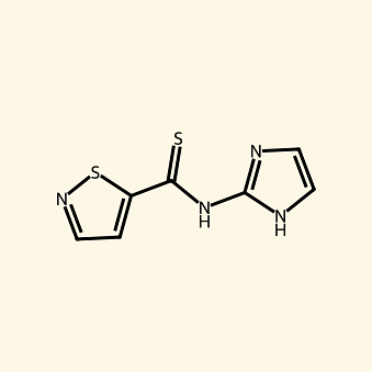 S=C(Nc1ncc[nH]1)c1ccns1